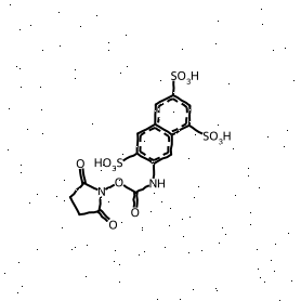 O=C(Nc1cc2c(S(=O)(=O)O)cc(S(=O)(=O)O)cc2cc1S(=O)(=O)O)ON1C(=O)CCC1=O